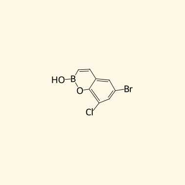 OB1C=Cc2cc(Br)cc(Cl)c2O1